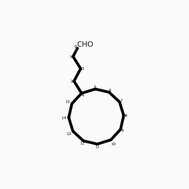 O=CCCCC1CCCCCCCCCCC1